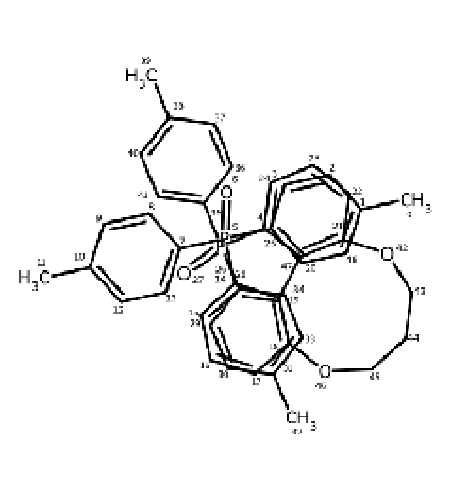 Cc1ccc(P(=O)(c2ccc(C)cc2)c2cccc3c2-c2c(cccc2P(=O)(c2ccc(C)cc2)c2ccc(C)cc2)OCCCO3)cc1